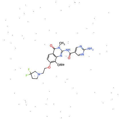 COc1c(OCCN2CCC(F)(F)C2)ccc2c(=O)n(C)c(NC(=O)c3cnc(N)nc3)nc12